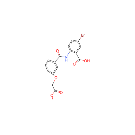 COC(=O)COc1cccc(C(=O)Nc2ccc(Br)cc2C(=O)O)c1